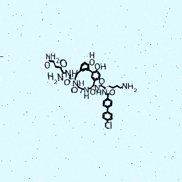 C[C@@H]1NC(=O)[C@@H](N(C)C(=O)[C@H](CCCCN)NC(=O)c2ccc(-c3ccc(Cl)cc3)cc2)c2ccc(O)c(c2)-c2cc(ccc2O)C[C@@H](C(=O)N[C@@H](N)C(=O)CCC(N)=O)NC1=O